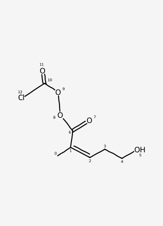 CC(=CCCO)C(=O)OOC(=O)Cl